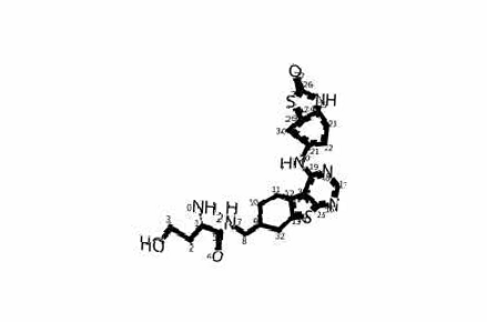 N[C@@H](CCO)C(=O)NCC1CCc2c(sc3ncnc(Nc4ccc5[nH]c(=O)sc5c4)c23)C1